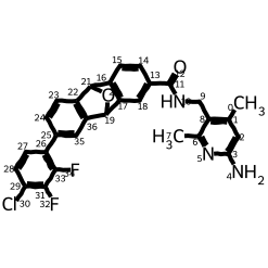 Cc1cc(N)nc(C)c1CNC(=O)c1ccc2c(c1)C1OC2c2ccc(-c3ccc(Cl)c(F)c3F)cc21